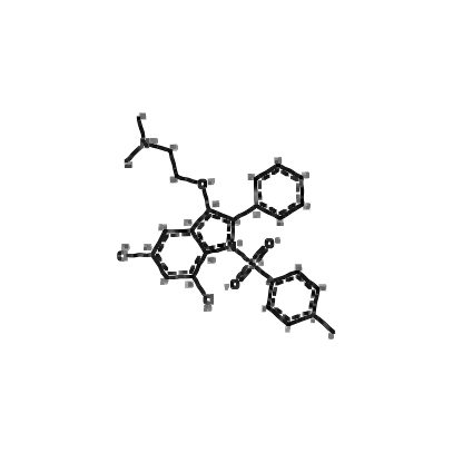 Cc1ccc(S(=O)(=O)n2c(-c3ccccc3)c(OCCN(C)C)c3cc(Cl)cc(Cl)c32)cc1